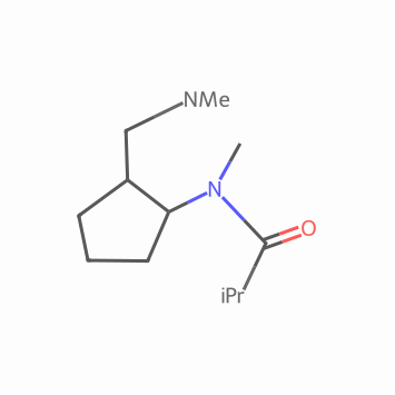 CNCC1CCCC1N(C)C(=O)C(C)C